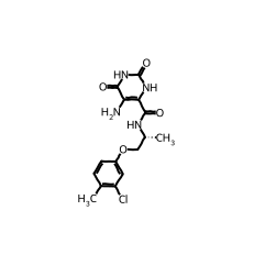 Cc1ccc(OC[C@@H](C)NC(=O)c2[nH]c(=O)[nH]c(=O)c2N)cc1Cl